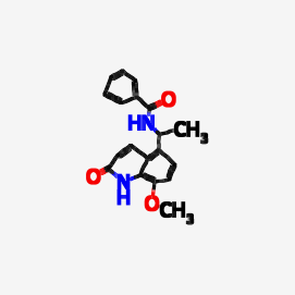 COc1ccc(C(C)NC(=O)c2ccccc2)c2ccc(=O)[nH]c12